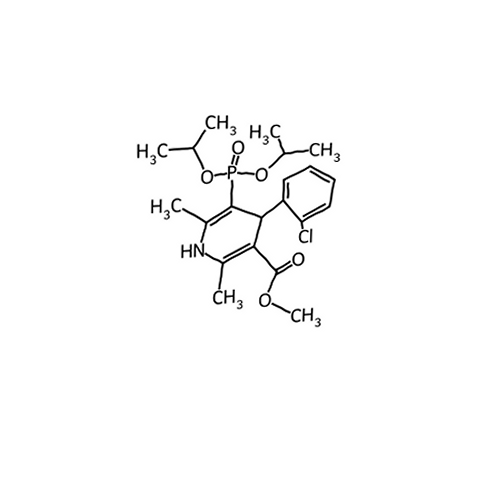 COC(=O)C1=C(C)NC(C)=C(P(=O)(OC(C)C)OC(C)C)C1c1ccccc1Cl